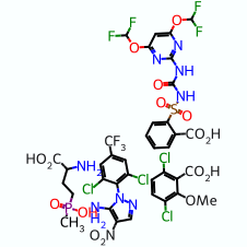 COc1c(Cl)ccc(Cl)c1C(=O)O.CP(=O)(O)CCC(N)C(=O)O.Nc1c([N+](=O)[O-])cnn1-c1c(Cl)cc(C(F)(F)F)cc1Cl.O=C(Nc1nc(OC(F)F)cc(OC(F)F)n1)NS(=O)(=O)c1ccccc1C(=O)O